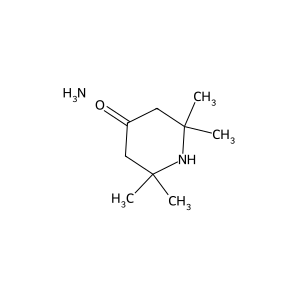 CC1(C)CC(=O)CC(C)(C)N1.N